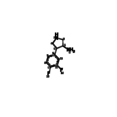 NC1CNCC1c1ccc(F)c(F)c1